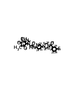 Cn1c(=O)c2c(ncn2CC(=O)Nc2ccc(N3CCN(C(=O)c4cccc(F)c4)CC3)cn2)n(C)c1=O